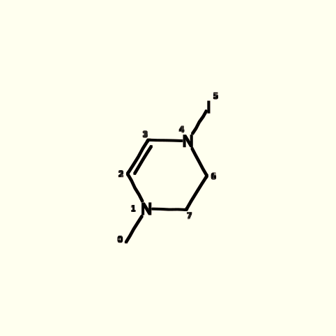 CN1C=CN(I)CC1